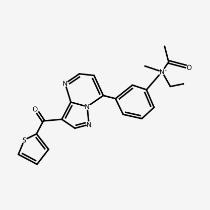 CC[N+](C)(C(C)=O)c1cccc(-c2ccnc3c(C(=O)c4cccs4)cnn23)c1